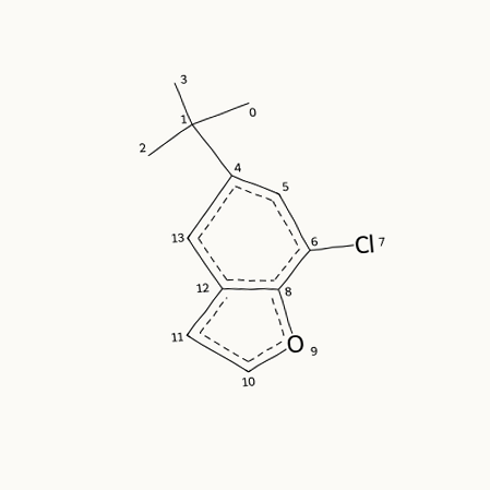 CC(C)(C)c1cc(Cl)c2occc2c1